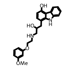 COc1cccc(OCCNCC(O)Cc2ccc(O)c3c2[nH]c2ccccc23)c1